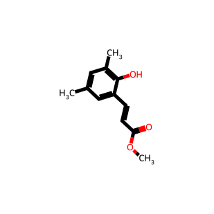 COC(=O)C=Cc1cc(C)cc(C)c1O